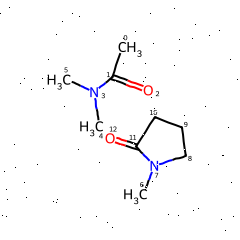 CC(=O)N(C)C.CN1CCCC1=O